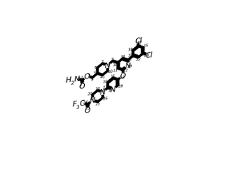 NC(=O)OCC1CCN(Cc2cc(Oc3ccc(N4CCN(C(=O)C(F)(F)F)CC4)nc3)nc(-c3cc(Cl)cc(Cl)c3)c2)CC1